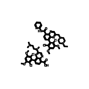 CCN1CCN(Cc2cnc3c(C(=O)Nc4ccccn4)ccc(-c4c(Cl)c(OC)cc(OC)c4Cl)c3n2)CC1.COc1cc(OC)c(Cl)c(-c2ccc(C(=O)O)c3ncc(N(C)CCN(C)C)nc23)c1Cl